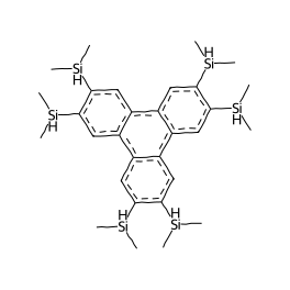 C[SiH](C)c1cc2c3cc([SiH](C)C)c([SiH](C)C)cc3c3cc([SiH](C)C)c([SiH](C)C)cc3c2cc1[SiH](C)C